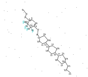 CCCC1=CC=C(CCC2CCC(C3CCC(C4CCC(CCC)CC4)CC3)CC2)C(F)(F)C1(F)F